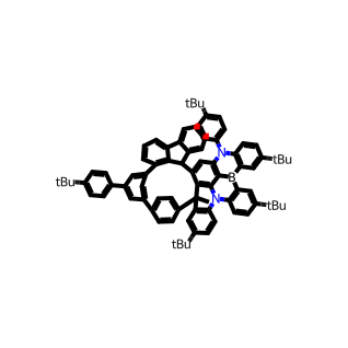 CC(C)(C)c1ccc(-c2cc3cc(c2)-c2cccc4c2C(c2ccccc2-4)c2cc4c5c6c2C(C)(c2ccc-3cc2)c2cc(C(C)(C)C)ccc2N6c2ccc(C(C)(C)C)cc2B5c2cc(C(C)(C)C)ccc2N4c2ccc(C(C)(C)C)cc2)cc1